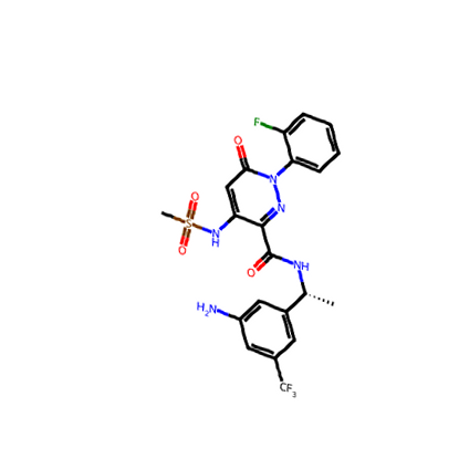 C[C@@H](NC(=O)c1nn(-c2ccccc2F)c(=O)cc1NS(C)(=O)=O)c1cc(N)cc(C(F)(F)F)c1